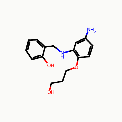 Nc1ccc(OCCCO)c(NCc2ccccc2O)c1